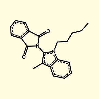 CCCCCn1c(N2C(=O)c3ccccc3C2=O)c(C)c2ccccc21